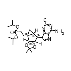 CC(C)OP(=O)(CC[C@]12C[C@@H]1[C@@H](C1C=Nc3c(N)nc(Cl)nc31)[C@@H]1OC(C)(C)O[C@@H]12)OC(C)C